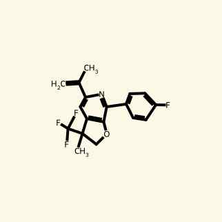 C=C(C)c1cc2c(c(-c3ccc(F)cc3)n1)OCC2(C)C(F)(F)F